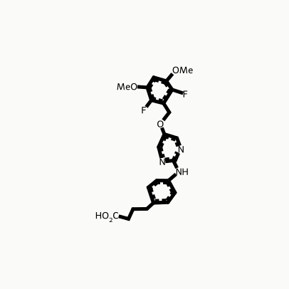 COc1cc(OC)c(F)c(COc2cnc(Nc3ccc(CCCC(=O)O)cc3)nc2)c1F